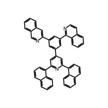 c1ccc2cc(-c3cc(-c4cc(-c5cccc6ccccc56)nc(-c5cccc6ccccc56)c4)cc(-c4nccc5ccccc45)c3)ncc2c1